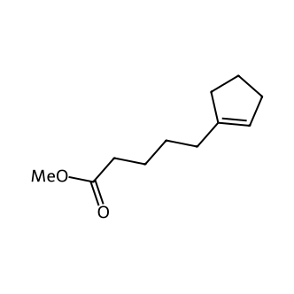 COC(=O)CCCCC1=CCCC1